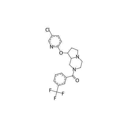 O=C(c1cccc(C(F)(F)F)c1)N1CCN2CCC(Oc3ccc(Cl)cn3)C2C1